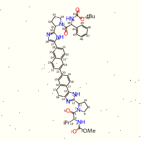 COC(=O)NC(C(=O)N1CCCC1c1nc2c([nH]1)-c1ccc(-c3ccc4cc(-c5cnc(C6CCCN6C(=O)C(NC(=O)OC(C)(C)C)c6ccccc6)[nH]5)ccc4c3)cc1CC2)C(C)C